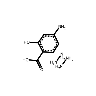 NN.NN.Nc1ccc(C(=O)O)c(O)c1